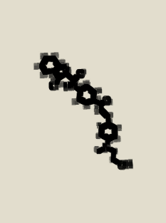 CN(CCO)c1ccc(/C=C/C(=O)c2ccc(NC(=O)c3sc4ccccc4c3Cl)cc2)cc1